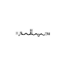 NCCCNCCOCCO